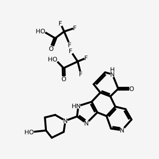 O=C(O)C(F)(F)F.O=C(O)C(F)(F)F.O=c1[nH]ccc2c3[nH]c(N4CCC(O)CC4)nc3c3cnccc3c12